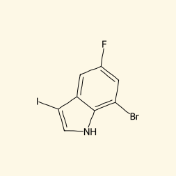 Fc1cc(Br)c2[nH]cc(I)c2c1